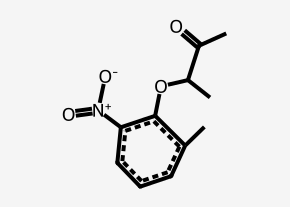 CC(=O)C(C)Oc1c(C)cccc1[N+](=O)[O-]